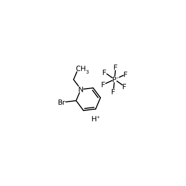 CCN1C=CC=CC1Br.F[P-](F)(F)(F)(F)F.[H+]